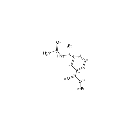 CCC(NC(N)=O)c1cccc(C(=O)OC(C)(C)C)c1